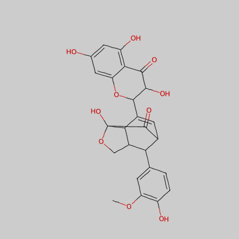 COc1cc(C2C3C=C(C4Oc5cc(O)cc(O)c5C(=O)C4O)C4C2COC4(O)C3=O)ccc1O